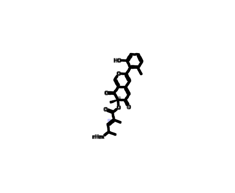 CCCCCCC(C)/C=C(\C)C(=O)O[C@@]1(C)C(=O)C=C2C=C(c3c(C)cccc3O)OC=C2C1=O